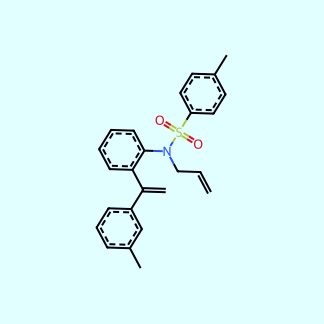 C=CCN(c1ccccc1C(=C)c1cccc(C)c1)S(=O)(=O)c1ccc(C)cc1